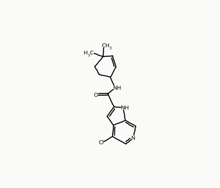 CC1(C)C=CC(NC(=O)c2cc3c(Cl)cncc3[nH]2)CC1